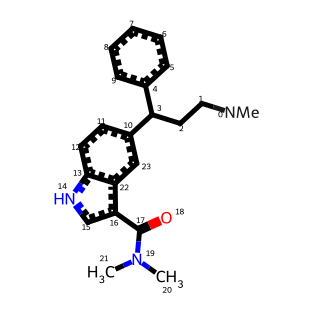 CNCCC(c1ccccc1)c1ccc2[nH]cc(C(=O)N(C)C)c2c1